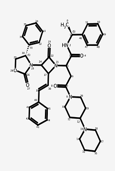 C[C@H](NC(=O)C(CC(=O)N1CCC(N2CCCCC2)CC1)N1C(=O)C(N2C(=O)OC[C@@H]2c2ccccc2)C1C=Cc1ccccc1)c1ccccc1